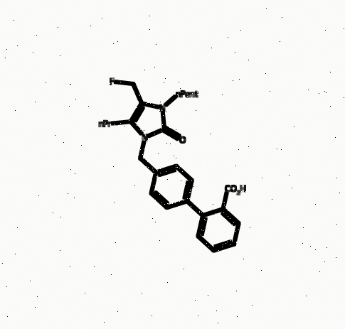 CCCCCn1c(CF)c(CCC)n(Cc2ccc(-c3ccccc3C(=O)O)cc2)c1=O